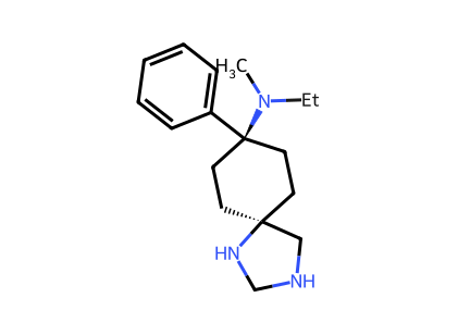 CCN(C)[C@]1(c2ccccc2)CC[C@]2(CC1)CNCN2